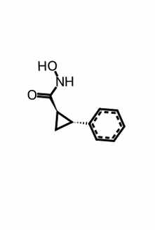 O=C(NO)[C@@H]1C[C@H]1c1ccccc1